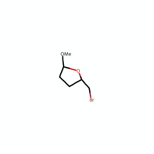 COC1CCC(CBr)O1